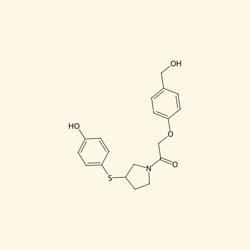 O=C(COc1ccc(CO)cc1)N1CCC(Sc2ccc(O)cc2)C1